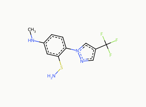 CNc1ccc(-n2cc(C(F)(F)F)cn2)c(SN)c1